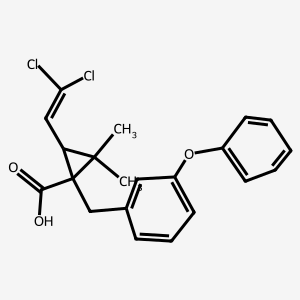 CC1(C)C(C=C(Cl)Cl)C1(Cc1cccc(Oc2ccccc2)c1)C(=O)O